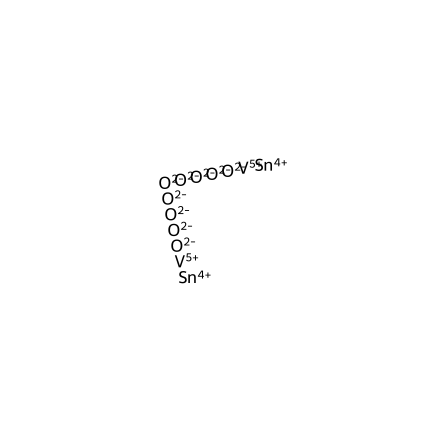 [O-2].[O-2].[O-2].[O-2].[O-2].[O-2].[O-2].[O-2].[O-2].[Sn+4].[Sn+4].[V+5].[V+5]